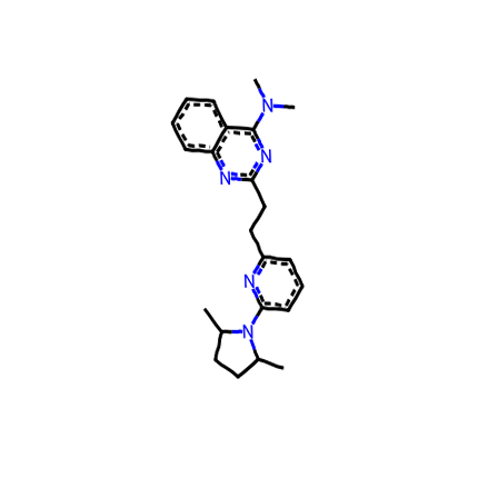 CC1CCC(C)N1c1cccc(CCc2nc(N(C)C)c3ccccc3n2)n1